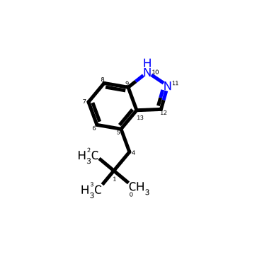 CC(C)(C)Cc1cccc2[nH]ncc12